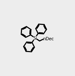 CCCCCCCCCCC[Si](c1ccccc1)(c1ccccc1)c1ccccc1